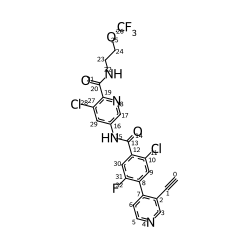 C#Cc1cnccc1-c1cc(Cl)c(C(=O)Nc2cnc(C(=O)NCCOC(F)(F)F)c(Cl)c2)cc1F